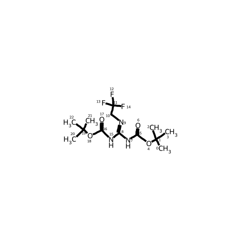 CC(C)(C)OC(=O)NC(=NCC(F)(F)F)NC(=O)OC(C)(C)C